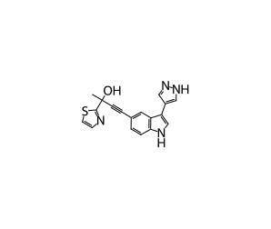 CC(O)(C#Cc1ccc2[nH]cc(-c3cn[nH]c3)c2c1)c1nccs1